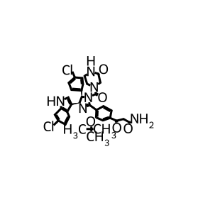 CC(C)(C)Oc1cc(C(=O)CC(N)=O)ccc1C1=N[C@@H](c2c[nH]c3cc(Cl)ccc23)[C@@H](c2ccc(Cl)cc2)N1C(=O)N1CCNC(=O)C1